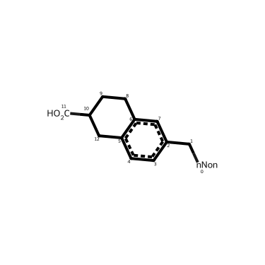 CCCCCCCCCCc1ccc2c(c1)CCC(C(=O)O)C2